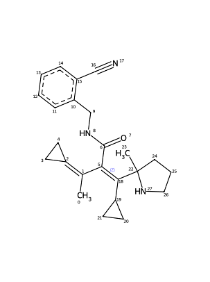 CC(=C1CC1)/C(C(=O)NCc1ccccc1C#N)=C(\C1CC1)C1(C)CCCN1